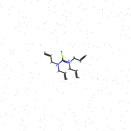 C=CCN(CC=C)C(F)=[N+](CC=C)CC=C